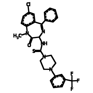 CN1C(=O)C(NC(=S)N2CCN(c3cccc(C(F)(F)F)c3)CC2)N=C(c2ccccc2)c2cc(Cl)ccc21